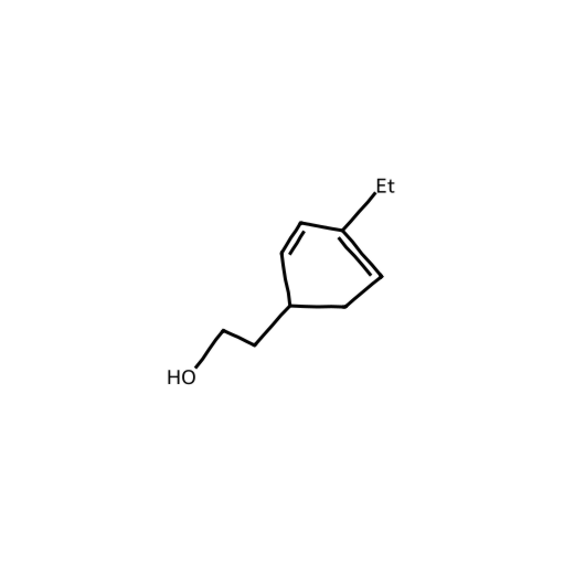 CCC1=CCC(CCO)C=C1